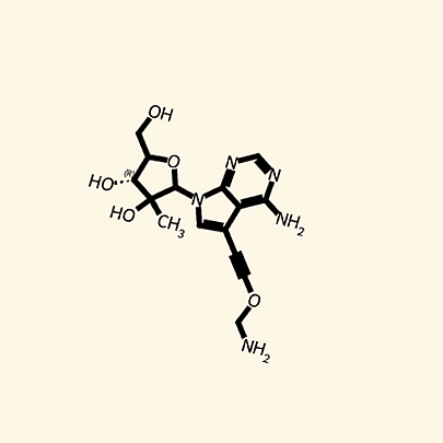 CC1(O)C(n2cc(C#COCN)c3c(N)ncnc32)OC(CO)[C@H]1O